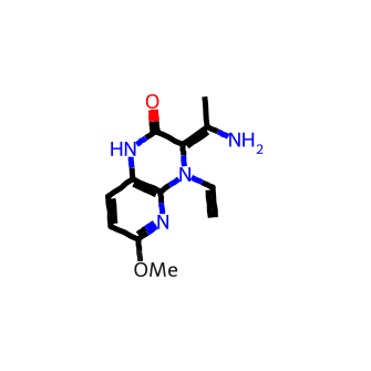 C=CN1/C(=C(/C)N)C(=O)Nc2ccc(OC)nc21